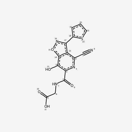 N#Cc1nc(C(=O)NCC(=O)O)c(O)c2onc(-c3cccs3)c12